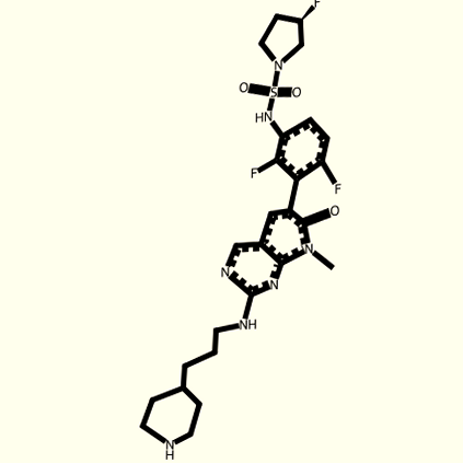 Cn1c(=O)c(-c2c(F)ccc(NS(=O)(=O)N3CC[C@@H](F)C3)c2F)cc2cnc(NCCCC3CCNCC3)nc21